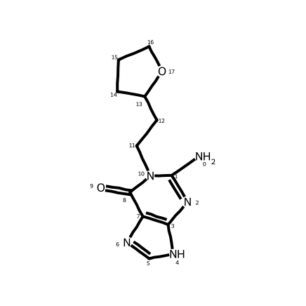 Nc1nc2[nH]cnc2c(=O)n1CCC1CCCO1